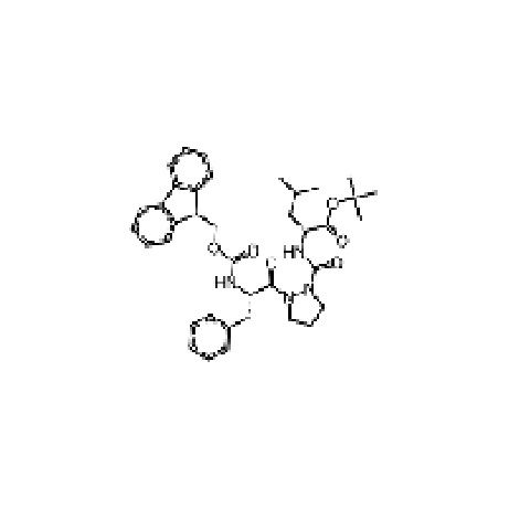 CC(C)C[C@H](NC(=O)N1CCCN1C(=O)[C@H](Cc1ccccc1)NC(=O)OCC1c2ccccc2-c2ccccc21)C(=O)OC(C)(C)C